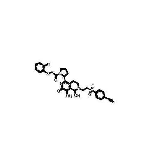 N#Cc1ccc(S(=O)(=O)CCN2CCn3c([C@@H]4CCCN4C(=O)CSc4ccccc4Cl)nc(=O)c(O)c3C2O)cc1